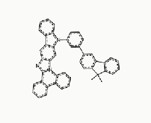 CC1(C)c2ccccc2-c2cc(-c3cccc(-n4c5ccccc5c5cc6nc7c8ccccc8c8ccccc8n7c6cc54)c3)ccc21